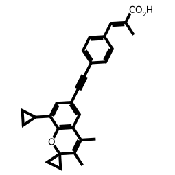 CC(=Cc1ccc(C#Cc2cc3c(c(C4CC4)c2)OC2(CC2)C(C)=C3C)cc1)C(=O)O